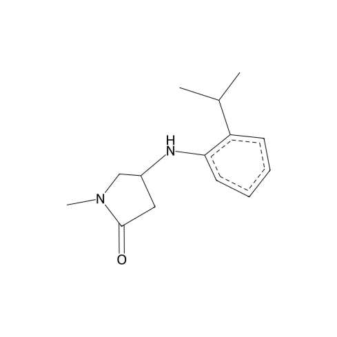 CC(C)c1ccccc1NC1CC(=O)N(C)C1